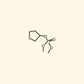 COP(=O)(OC)OC1CCSC1